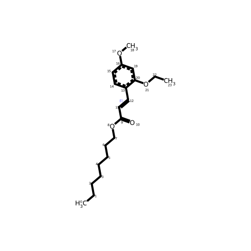 CCCCCCCCOC(=O)/C=C/c1ccc(OC)cc1OCC